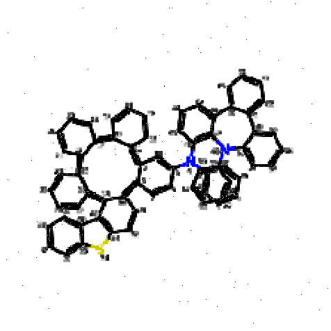 c1ccc(N(c2ccc3c(c2)c2ccccc2c2ccccc2c2ccccc2c2c3ccc3sc4ccccc4c32)c2cccc3c2N(c2ccccc2)c2ccccc2-c2ccccc2-3)cc1